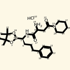 CC1(C)OB([C@H](CCCc2ccccc2)NC(=O)C(N)CC(=O)N2CCCCC2)OC1(C)C.Cl